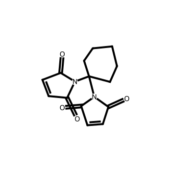 O=C1C=CC(=O)N1C1(N2C(=O)C=CC2=O)CCCCC1